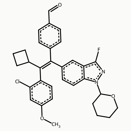 COc1ccc(C(=C(c2ccc(C=O)cc2)c2ccc3c(c2)c(F)nn3C2CCCCO2)C2CCC2)c(Cl)c1